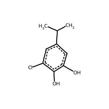 CC(C)c1cc(O)c(O)c(Cl)c1